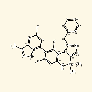 Cc1c[nH]c2c(-c3c(F)cc4c(c3F)-n3c(Cc5ccncc5)nnc3C(C)(C)N4)cc(F)cc12